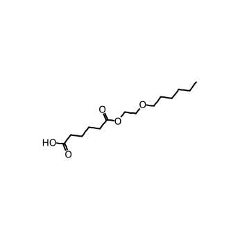 CCCCCCOCCOC(=O)CCCCC(=O)O